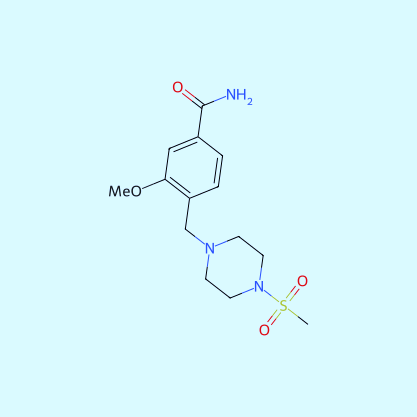 COc1cc(C(N)=O)ccc1CN1CCN(S(C)(=O)=O)CC1